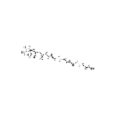 CC(C)(C)OC(=O)CC(=O)CCC=CCC=CCC=CCCCCCBr